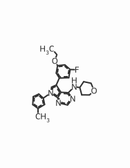 CCOc1cc(F)cc(-c2cn(-c3cccc(C)c3)c3ncnc(NC4CCOCC4)c23)c1